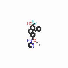 Cc1ncccc1NC(=O)c1ccc2c(c1)CCC1C[C@@](O)(C(F)F)CC[C@@]21Cc1ccccc1